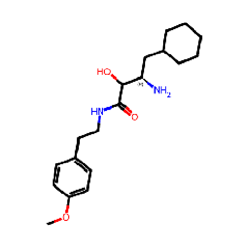 COc1ccc(CCNC(=O)C(O)[C@H](N)CC2CCCCC2)cc1